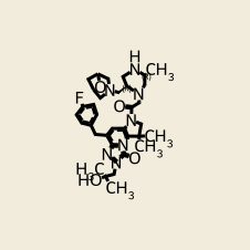 C[C@@H]1CN(CC(=O)N2CC(C)(C)c3c2cc(Cc2ccc(F)cc2)c2nn(CC(C)(C)O)c(=O)n32)[C@@H](CN2CC3CC(C2)O3)CN1